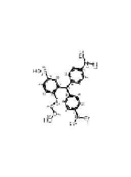 CCN(CC)c1ccc(C(c2ccc(N(CC)CC)cc2)c2cc(S(=O)(=O)O)ccc2SOOO)cc1